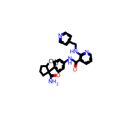 CC1CCCC1(C(N)=O)c1ccc(NC(=O)c2cccnc2NCc2ccncc2)cc1